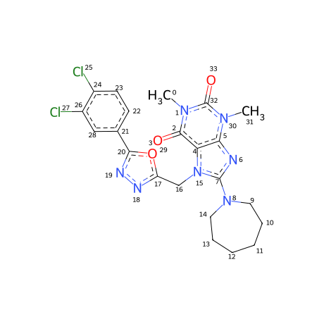 Cn1c(=O)c2c(nc(N3CCCCCC3)n2Cc2nnc(-c3ccc(Cl)c(Cl)c3)o2)n(C)c1=O